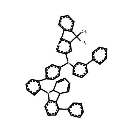 CC1(C)c2ccccc2-c2ccc(N(c3ccc(-c4ccccc4N4c5cccc(-c6ccccc6)c5C5C=CC=CC54)cc3)c3cccc(-c4ccccc4)c3)cc21